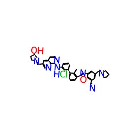 Cc1c(-c2nc3cc(CN4CCCC4)cc(C#N)c3o2)cccc1-c1cccc(Nc2nccc3cc(CN4CC[C@@H](O)C4)cnc23)c1Cl